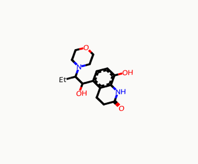 CCC(C(O)c1ccc(O)c2c1CCC(=O)N2)N1CCOCC1